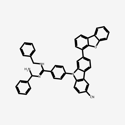 N#Cc1ccc2c(c1)c1ccc(-c3cccc4c3oc3ccccc34)cc1n2-c1ccc(/C(=N/C(N)c2ccccc2)NCc2ccccc2)cc1